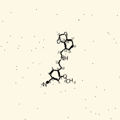 COc1cc(C#N)ccc1CCNCc1cccc2c1OCO2